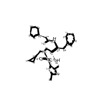 Cc1nc(C)c(S(=O)(=O)N(CC2CC2)C[C@@H](O)[C@H](Cc2ccccc2)NC(=O)C[C@H]2C=CCC2)s1